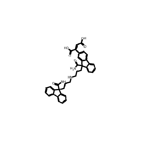 NC(=O)C1(CCCNCCCC2(C(N)=O)c3ccccc3-c3ccc(/C(=C\C(=O)O)C(=O)O)cc32)c2ccccc2-c2ccccc21